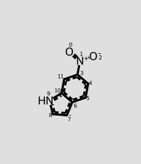 O=[N+]([O-])c1ccc2[c]c[nH]c2c1